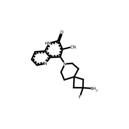 BC1(F)CC2(CCN(c3c(C#N)c(=O)[nH]c4cccnc34)CC2)C1